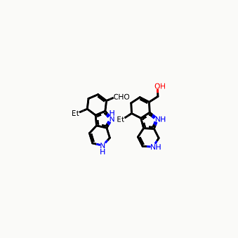 CCC1CC=C(C=O)c2[nH]c3c(c21)C=CNC3.CCC1CC=C(CO)c2[nH]c3c(c21)C=CNC3